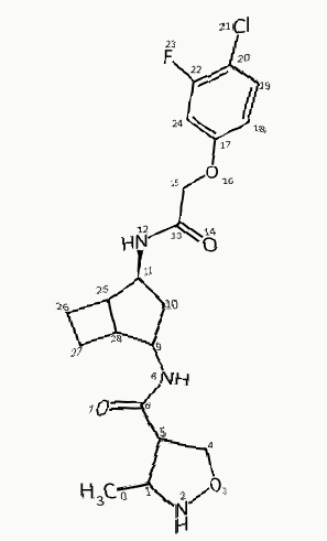 CC1NOCC1C(=O)NC1C[C@H](NC(=O)COc2ccc(Cl)c(F)c2)C2CCC12